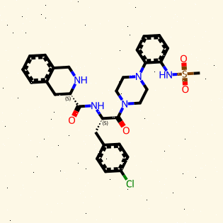 CS(=O)(=O)Nc1ccccc1N1CCN(C(=O)[C@H](Cc2ccc(Cl)cc2)NC(=O)[C@@H]2Cc3ccccc3CN2)CC1